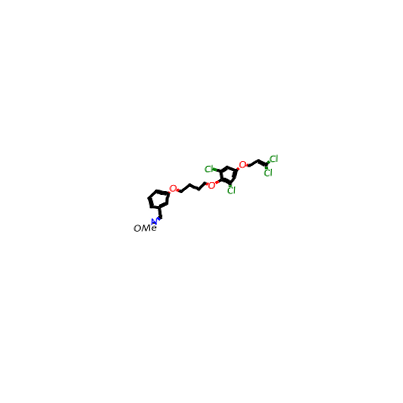 CO/N=C/c1cccc(OCCCCOc2c(Cl)cc(OCC=C(Cl)Cl)cc2Cl)c1